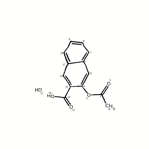 CC(=O)Oc1cc2ccccc2cc1C(=O)O.Cl